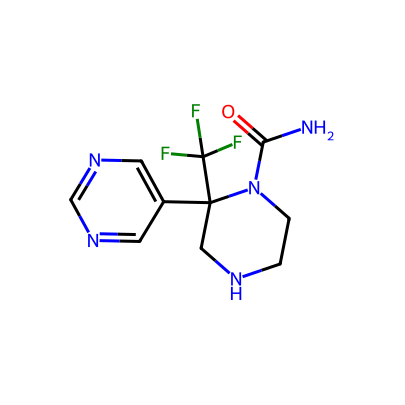 NC(=O)N1CCNCC1(c1cncnc1)C(F)(F)F